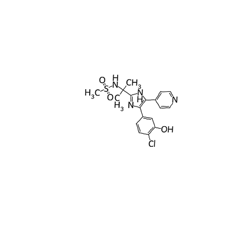 CC(C)(NS(C)(=O)=O)c1nc(-c2ccc(Cl)c(O)c2)c(-c2ccncc2)[nH]1